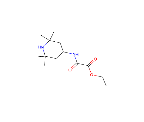 CCOC(=O)C(=O)NC1CC(C)(C)NC(C)(C)C1